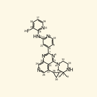 CC1(C)CN(c2nc(-c3ccnc(Nc4ncccc4F)c3)nc3cncc(C4CC4)c23)CCN1